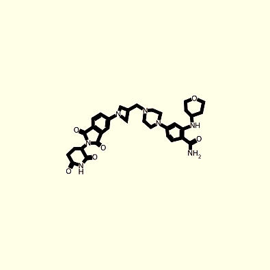 NC(=O)c1ccc(N2CCN(CC3CN(c4ccc5c(c4)C(=O)N(C4CCC(=O)NC4=O)C5=O)C3)CC2)cc1NC1CCOCC1